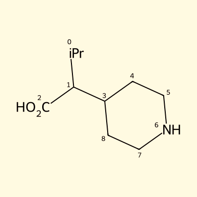 CC(C)C(C(=O)O)C1CCNCC1